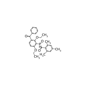 CCOc1ccc(C(=O)c2ccccc2)c(OCC)c1[PH](=O)C(=O)c1c(C)cc(C)cc1C